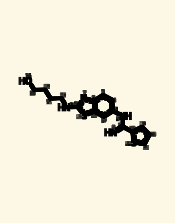 N=C(Nc1ccc2nc(NCCCCO)sc2c1)c1cccs1